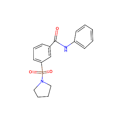 O=C(Nc1ccccc1)c1cccc(S(=O)(=O)N2CCCC2)c1